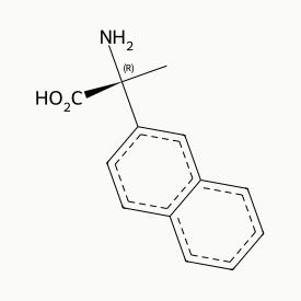 C[C@](N)(C(=O)O)c1ccc2ccccc2c1